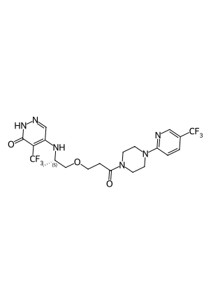 C[C@@H](COCCC(=O)N1CCN(c2ccc(C(F)(F)F)cn2)CC1)Nc1cn[nH]c(=O)c1C(F)(F)F